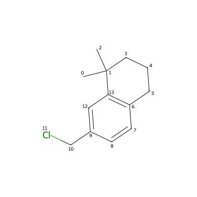 CC1(C)CCCc2ccc(CCl)cc21